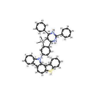 C[Si]1(C)c2cc(-n3c4ccccc4c4ccc5sc6ccccc6c5c43)ccc2-c2nc(-c3ccccc3)nc(-c3ccccc3)c21